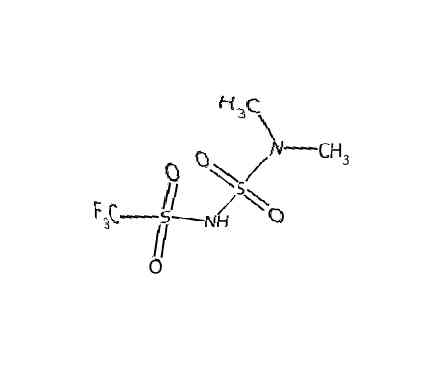 CN(C)S(=O)(=O)NS(=O)(=O)C(F)(F)F